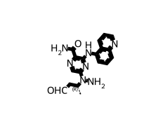 C[C@H](CC=O)N(N)c1cnc(C(N)=O)c(Nc2cccc3ncccc23)n1